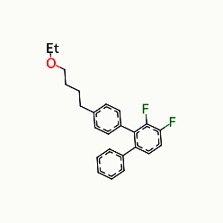 CCOCCCCc1ccc(-c2c(-c3ccccc3)ccc(F)c2F)cc1